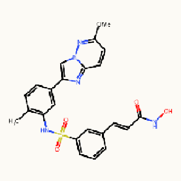 COc1ccc2nc(-c3ccc(C)c(NS(=O)(=O)c4cccc(/C=C/C(=O)NO)c4)c3)cn2n1